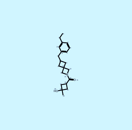 CCc1cccc(CC2CC3(C2)CN(C(=O)C2CC(C)(O)C2)C3)c1